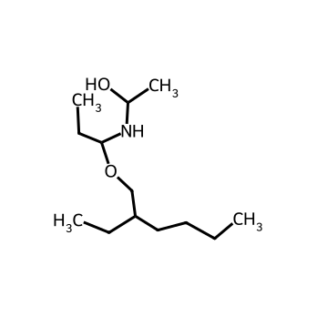 CCCCC(CC)COC(CC)NC(C)O